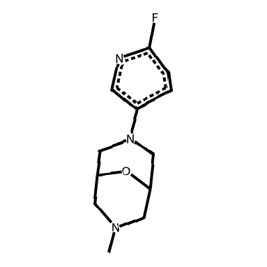 CN1CC2CN(c3ccc(F)nc3)CC(C1)O2